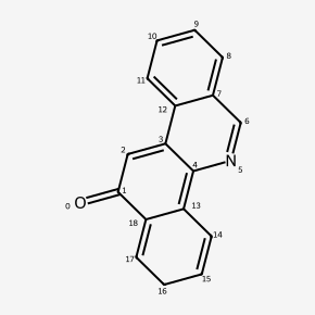 O=C1C=c2c(ncc3ccccc23)=C2C=CCC=C12